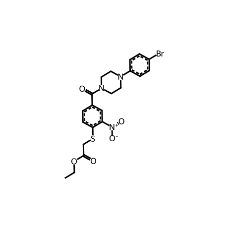 CCOC(=O)CSc1ccc(C(=O)N2CCN(c3ccc(Br)cc3)CC2)cc1[N+](=O)[O-]